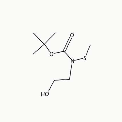 CSN(CCO)C(=O)OC(C)(C)C